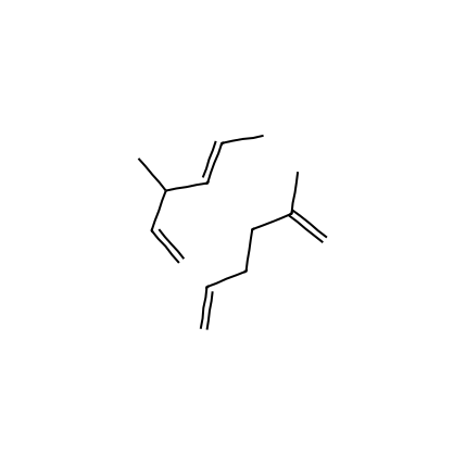 C=CC(C)C=CC.C=CCCC(=C)C